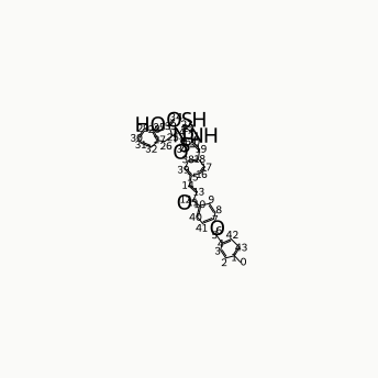 Cc1ccc(COc2ccc(C(=O)/C=C/c3ccc(/C=C4/N[C@H](S)N(C(Cc5ccccc5)C(=O)O)[S+]4[O-])cc3)cc2)cc1